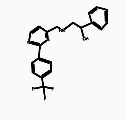 OC(CNCc1ccnc(-c2ccc(C(F)(F)F)cc2)n1)c1ccccc1